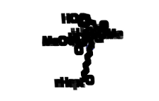 CCCCCCCC(=O)CCCCCC/C=C/[C@H](C(=O)N[C@@H](Cc1ccc(O)cc1)C(=O)OC)[C@@](O)(CC(=O)NCCOC)C(=O)O